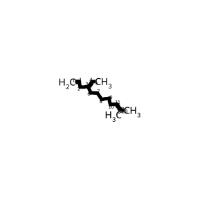 C=CCC(=CC)CCCCCC=C(C)C